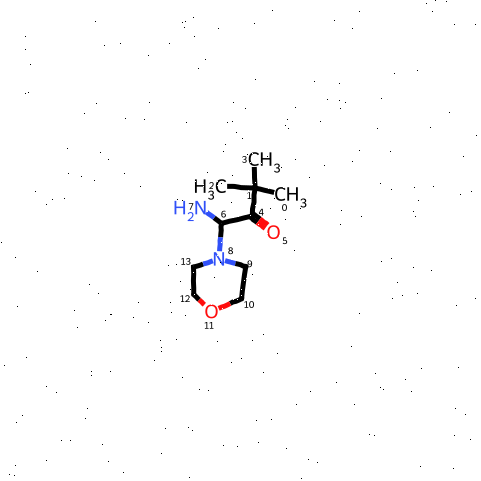 CC(C)(C)C(=O)C(N)N1CCOCC1